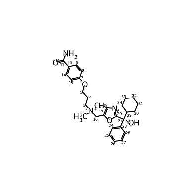 C[N+](C)(CCCOc1ccc(C(N)=O)cc1)Cc1cnc([C@](O)(c2ccccc2)C2CCCCC2)o1